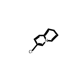 ClC1=CN2C=CCC=C2C=C1